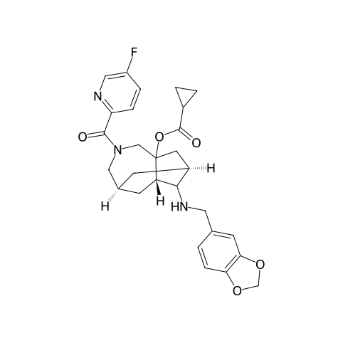 O=C(OC12C[C@@H]3C[C@@H](C[C@H]1C3NCc1ccc3c(c1)OCO3)CN(C(=O)c1ccc(F)cn1)C2)C1CC1